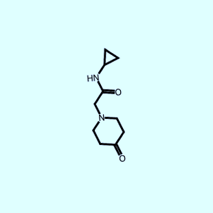 O=C1CCN(CC(=O)NC2CC2)CC1